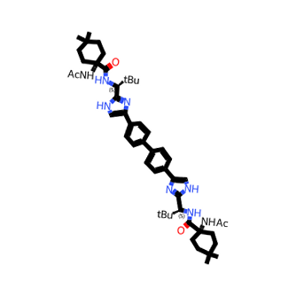 CC(=O)NC1(C(=O)N[C@H](c2nc(-c3ccc(-c4ccc(-c5c[nH]c([C@@H](NC(=O)C6(NC(C)=O)CCC(C)(C)CC6)C(C)(C)C)n5)cc4)cc3)c[nH]2)C(C)(C)C)CCC(C)(C)CC1